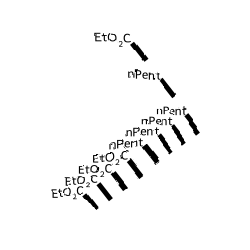 CCCCCC.CCCCCC.CCCCCC.CCCCCC.CCCCCC.CCOC(C)=O.CCOC(C)=O.CCOC(C)=O.CCOC(C)=O.CCOC(C)=O